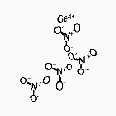 O=[N+]([O-])[O-].O=[N+]([O-])[O-].O=[N+]([O-])[O-].O=[N+]([O-])[O-].[Ge+4]